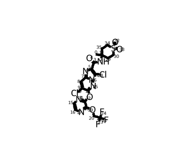 CC1(NC(=O)c2nc3cc(Cl)c(Oc4nccnc4OCC(F)(F)F)nn3c2Cl)CCS(=O)(=O)CC1